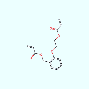 C=CC(=O)OCCOc1ccccc1COC(=O)C=C